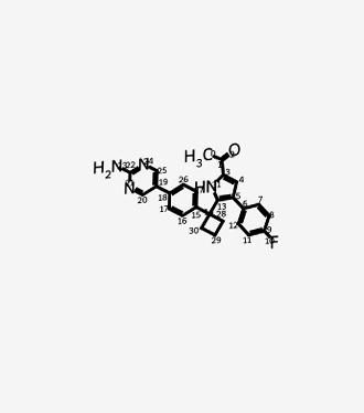 CC(=O)c1cc(-c2ccc(F)cc2)c(C2(c3ccc(-c4cnc(N)nc4)cc3)CCC2)[nH]1